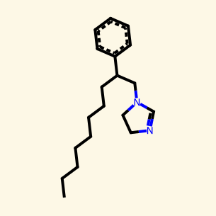 CCCCCCCCC(CN1C=NCC1)c1ccccc1